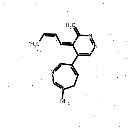 C=c1nncc(C2=CCC(N)=CN=C2)/c1=C/C=C\C